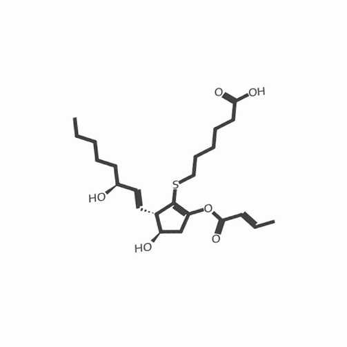 CC=CC(=O)OC1=C(SCCCCCC(=O)O)[C@@H](C=C[C@@H](O)CCCCC)[C@H](O)C1